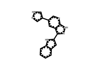 c1ccc2[nH]c(-c3n[nH]c4ncc(-c5cn[nH]c5)cc34)cc2c1